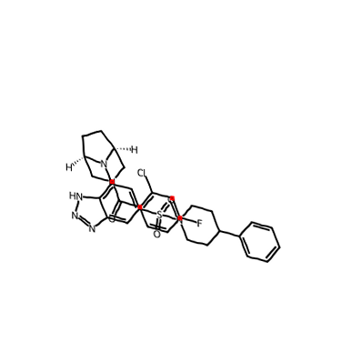 O=C(c1ccc(F)cc1Cl)N1C[C@H]2CC[C@@H](C1)N2c1cc(S(=O)(=O)N2CCC(c3ccccc3)CC2)cc2nn[nH]c12